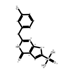 O=c1[nH]c(Cc2cccc(Cl)c2)nc2sc(P(=O)(O)O)cc12